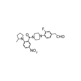 CC1CCCN1c1ccc([N+](=O)[O-])cc1C(=O)N1CCN(c2ccc(CC=O)cc2F)CC1